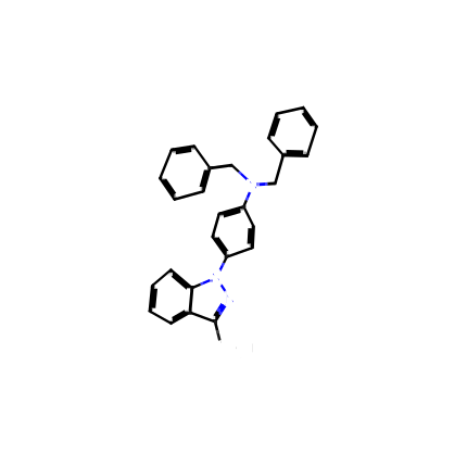 O=C(O)c1nn(-c2ccc(N(Cc3ccccc3)Cc3ccccc3)cc2)c2ccccc12